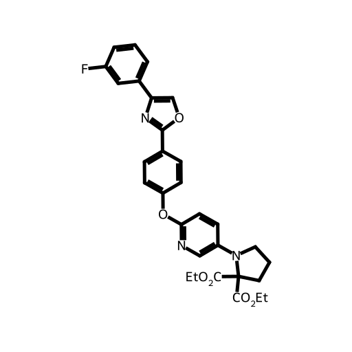 CCOC(=O)C1(C(=O)OCC)CCCN1c1ccc(Oc2ccc(-c3nc(-c4cccc(F)c4)co3)cc2)nc1